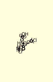 Cc1cc(OCCCc2c(C(=O)NC3CCN(C(=O)C(=O)O)CC3)[nH]c3c(-c4c(C)nn(C)c4C)c(Cl)ccc23)cc(C)c1Cl